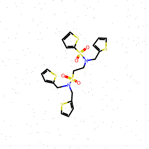 O=S(=O)(CCN(Cc1cccs1)S(=O)(=O)c1cccs1)N(Cc1cccs1)Cc1cccs1